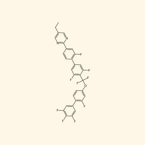 CCc1cnc(-c2ccc(-c3cc(F)c(C(F)(F)Oc4ccc(-c5cc(F)c(F)c(F)c5)c(F)c4)c(F)c3)c(F)c2)nc1